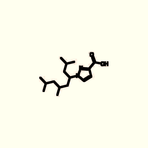 CC(C)CC(C)CC(CC(C)C)n1ccc(C(=O)O)n1